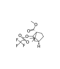 COC(=O)[C@@]12CC[C@H](C=C1OS(=O)(=O)C(F)(F)F)C2(C)C